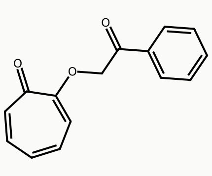 O=C(COc1cccccc1=O)c1ccccc1